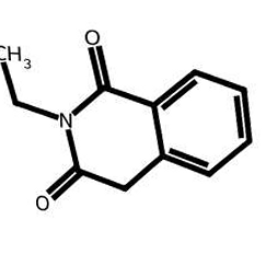 CCN1C(=O)Cc2ccccc2C1=O